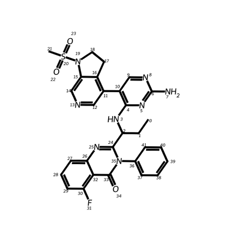 CCC(Nc1nc(N)ncc1-c1cncc2c1CCN2S(C)(=O)=O)c1nc2cccc(F)c2c(=O)n1-c1ccccc1